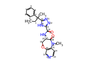 CCC(C)(c1ccccc1)c1nnc(C(=O)N[C@H]2COc3cnccc3N(C)C2=O)[nH]1